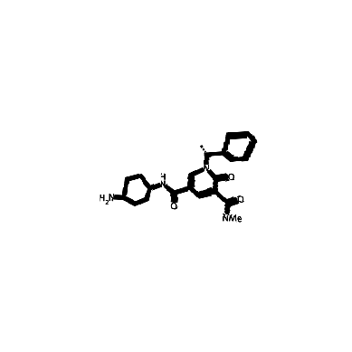 CNC(=O)c1cc(C(=O)NC2CCC(N)CC2)cn([C@H](C)c2ccccc2)c1=O